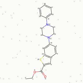 CCOC(=O)c1cc2ccc(N3CCN(c4ccccc4)CC3)cc2s1